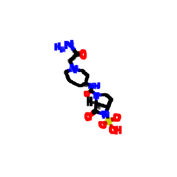 NC(=O)CN1CCC[C@H](NC(=O)N2CCC3[C@H]2C(=O)N3S(=O)(=O)O)CC1